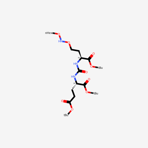 CCCCCCONOCC[C@H](NC(=O)N[C@@H](CCC(=O)OC(C)(C)C)C(=O)OC(C)(C)C)C(=O)OC(C)(C)C